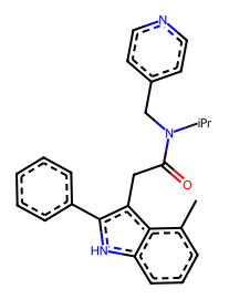 Cc1cccc2[nH]c(-c3ccccc3)c(CC(=O)N(Cc3ccncc3)C(C)C)c12